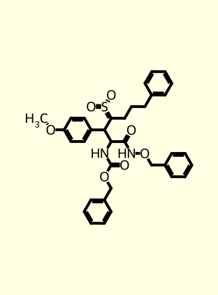 COc1ccc(C(C(CCCc2ccccc2)=S(=O)=O)C(NC(=O)OCc2ccccc2)C(=O)NOCc2ccccc2)cc1